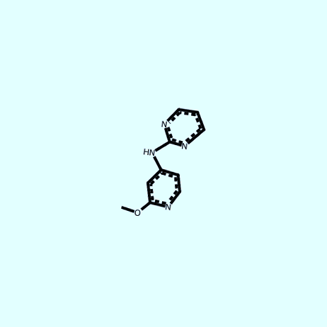 COc1cc(Nc2ncccn2)ccn1